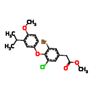 COC(=O)Cc1cc(Cl)c(Oc2ccc(OC)c(C(C)C)c2)c(Br)c1